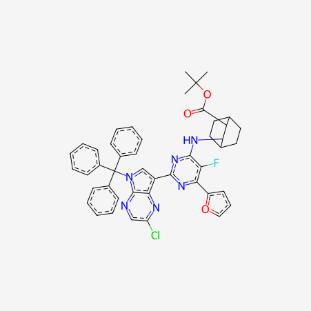 CC(C)(C)OC(=O)C1C2CCC(CC2)C1Nc1nc(-c2cn(C(c3ccccc3)(c3ccccc3)c3ccccc3)c3ncc(Cl)nc23)nc(-c2ccco2)c1F